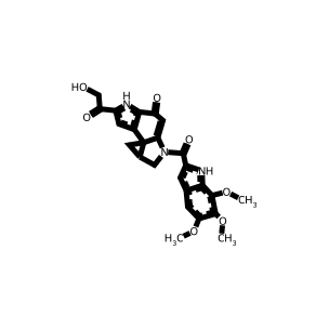 COc1cc2cc(C(=O)N3CC4CC45C3=CC(=O)c3[nH]c(C(=O)CO)cc35)[nH]c2c(OC)c1OC